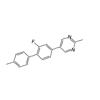 Cc1ccc(-c2ccc(-c3cnc(C)nc3)cc2F)cc1